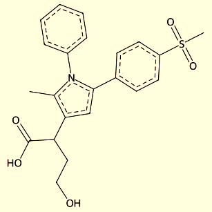 Cc1c(C(CCO)C(=O)O)cc(-c2ccc(S(C)(=O)=O)cc2)n1-c1ccccc1